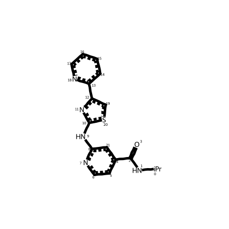 CC(C)NC(=O)c1ccnc(Nc2nc(-c3ccccn3)cs2)c1